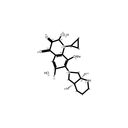 COc1c(N2C[C@@H]3CCCN[C@@H]3C2)c(F)cc2c1N(C1CC1)C(C(=O)O)C(=O)C2=O.Cl